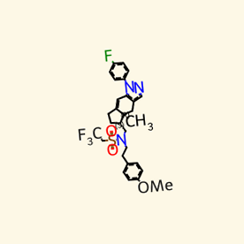 COc1ccc(CCN(C[C@H]2CCC3=Cc4c(cnn4-c4ccc(F)cc4)C[C@@]32C)S(=O)(=O)CC(F)(F)F)cc1